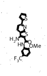 COc1ccc(C(F)(F)F)cc1NC(=O)c1sc2nc(-c3cccs3)ccc2c1N